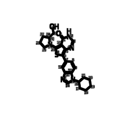 O=c1[nH]cnc2c(-c3ccc4c(c3)ncn4C3CCCCC3)sc(N3CCC[C@H]3CO)c12